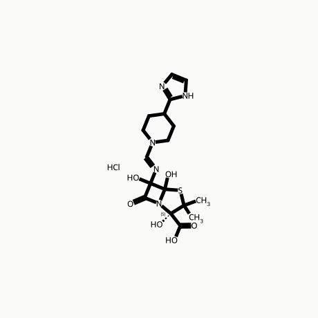 CC1(C)SC2(O)N(C(=O)C2(O)N=CN2CCC(c3ncc[nH]3)CC2)[C@]1(O)C(=O)O.Cl